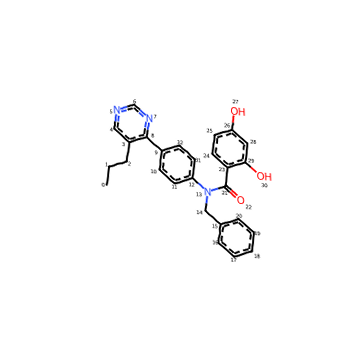 CCCc1cncnc1-c1ccc(N(Cc2ccccc2)C(=O)c2ccc(O)cc2O)cc1